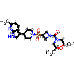 Cc1ccc2c(C3CCN(S(=O)(=O)C4CN(C(=O)N5C[C@@H](C)O[C@@H](C)C5)C4)CC3)c[nH]c2n1